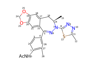 CC(=O)Nc1ccc(C2=NN(c3nnc(C)s3)[C@H](C)Cc3cc4c(cc32)OCO4)cc1C